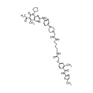 CC(=O)c1c(C)c2cnc(Nc3ccc(N4CCN(CC(=O)NCCCCCNC(=O)COc5ccc(C(=O)Nc6ncc(C)s6)c(C)c5)CC4)cn3)nc2n(C2CCCC2)c1=O